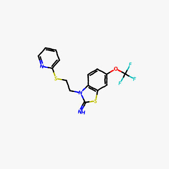 N=c1sc2cc(OC(F)(F)F)ccc2n1CCSc1ccccn1